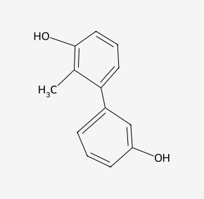 Cc1c(O)cccc1-c1cccc(O)c1